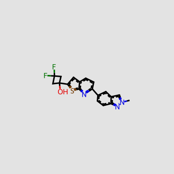 Cn1cc2cc(-c3ccc4cc(C5(O)CC(F)(F)C5)sc4n3)ccc2n1